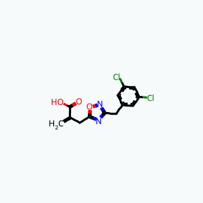 C=C(Cc1nc(Cc2cc(Cl)cc(Cl)c2)no1)C(=O)O